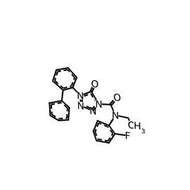 CCN(C(=O)n1nnn(-c2ccccc2-c2ccccc2)c1=O)c1ccccc1F